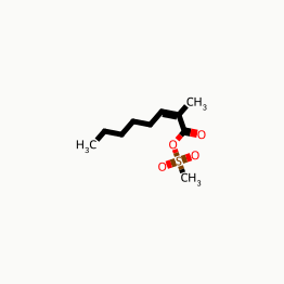 CCCCCC=C(C)C(=O)OS(C)(=O)=O